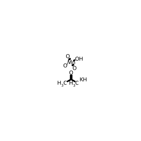 CC(C)=O.[KH].[O]=[Mn](=[O])(=[O])[OH]